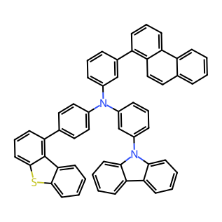 c1cc(-c2cccc3c2ccc2ccccc23)cc(N(c2ccc(-c3cccc4sc5ccccc5c34)cc2)c2cccc(-n3c4ccccc4c4ccccc43)c2)c1